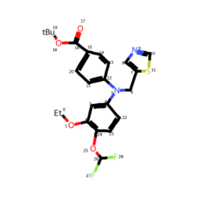 CCOc1cc(N(Cc2cncs2)c2ccc(C(=O)OC(C)(C)C)cc2)ccc1OC(F)F